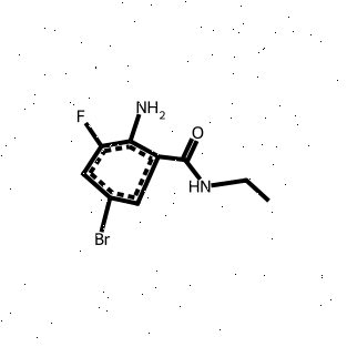 CCNC(=O)c1cc(Br)cc(F)c1N